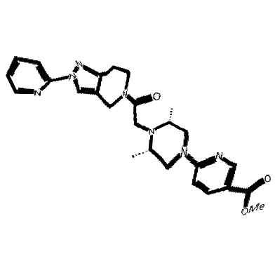 COC(=O)c1ccc(N2C[C@@H](C)N(CC(=O)N3CCc4nn(-c5ccccn5)cc4C3)[C@@H](C)C2)nc1